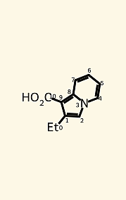 CCc1cn2ccc[c]c2c1C(=O)O